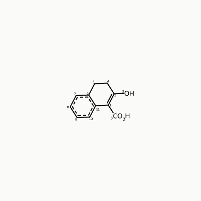 O=C(O)C1=C(O)CCc2ccccc21